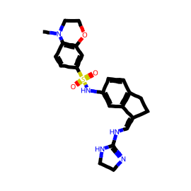 CN1CCOc2cc(S(=O)(=O)Nc3ccc4c(c3)/C(=C\NC3=NCCN3)CC4)ccc21